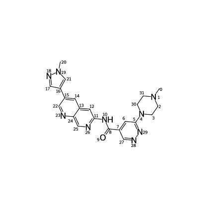 CN1CCN(c2cc(C(=O)Nc3cc4cc(-c5cnn(C)c5)cnc4cn3)cnn2)CC1